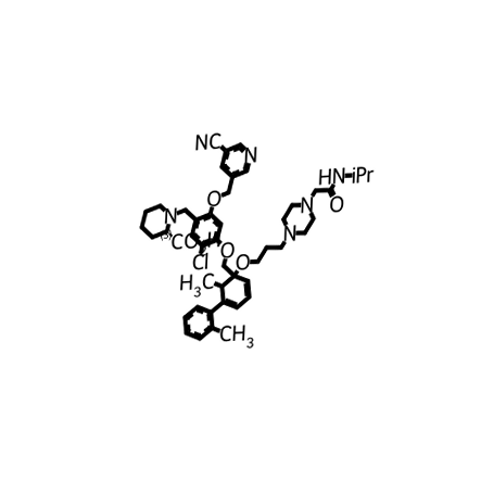 Cc1ccccc1C1=CC=CC(COc2cc(OCc3cncc(C#N)c3)c(CN3CCCC[C@H]3C(=O)O)cc2Cl)(OCCCN2CCN(CC(=O)NC(C)C)CC2)C1C